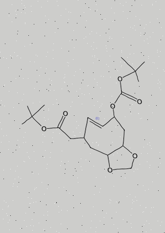 CC(C)(C)OC(=O)CC1/C=C/C(OC(=O)OC(C)(C)C)CC2OCOC2C1